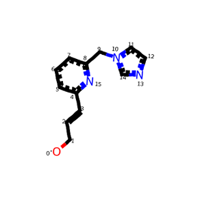 [O]CC=Cc1cccc(Cn2ccnc2)n1